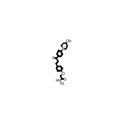 CCNC(=O)COc1ccc(/C=C/C(=O)c2ccc(N3CCC(O)CC3)cc2)cc1